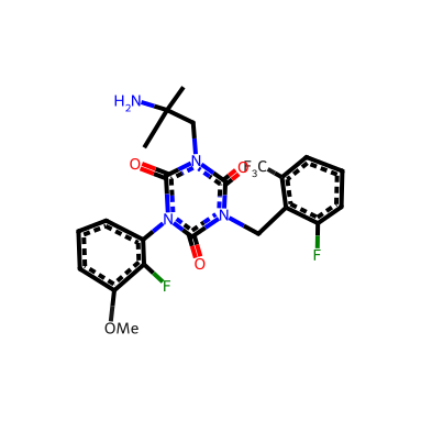 COc1cccc(-n2c(=O)n(Cc3c(F)cccc3C(F)(F)F)c(=O)n(CC(C)(C)N)c2=O)c1F